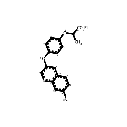 CCOC(=O)C(C)Oc1ccc(Oc2cnc3cc(Cl)ccc3c2)cc1